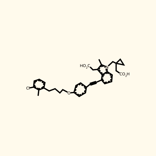 Cc1c(Cl)cccc1CCCCOc1ccc(C#Cc2cccc3c2c(CC(=O)O)c(C)n3CC2(CC(=O)O)CC2)cc1